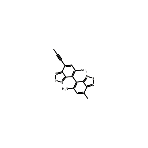 CC#Cc1cc(N)c(-c2c(N)cc(C)c3nsnc23)c2nsnc12